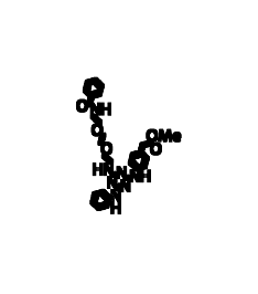 COC(=O)Cc1ccc(Nc2nc(NCCOCCOCCNC(=O)c3ccccc3)nc(Nc3ccccc3)n2)cc1